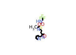 Cc1nc(CCc2conc2-c2ccccn2)sc1OC(=O)NCC(F)(F)F